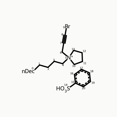 CCCCCCCCCCCCCC[N+]1(CC#CBr)CCCC1.O=S(=O)(O)c1ccccc1